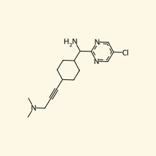 CN(C)CC#CC1CCC(C(N)c2ncc(Cl)cn2)CC1